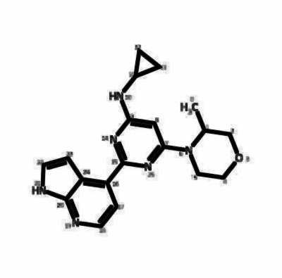 CC1COCCN1c1cc(NC2CC2)nc(-c2ccnc3[nH]ccc23)n1